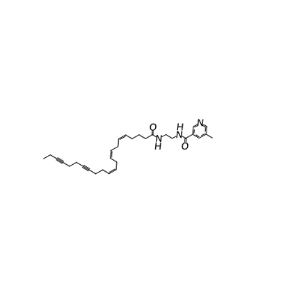 CCC#CCCC#CCC/C=C\C/C=C\C/C=C\CCCC(=O)NCCNC(=O)c1cncc(C)c1